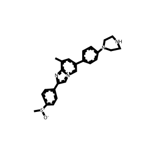 Cc1cc(-c2ccc(N3CCNCC3)cc2)cn2cc(-c3ccc([S+](C)[O-])cc3)nc12